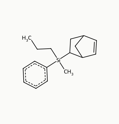 CCC[Si](C)(c1ccccc1)C1CC2C=CC1C2